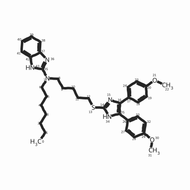 CCCCCCCN(CCCCCSc1nc(-c2ccc(OC)cc2)c(-c2ccc(OC)cc2)[nH]1)c1nc2ccccc2[nH]1